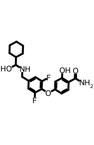 NC(=O)c1ccc(Oc2c(F)cc(CNC(O)C3CCCCC3)cc2F)cc1O